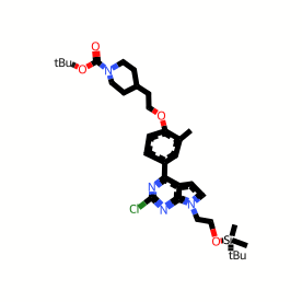 Cc1cc(-c2nc(Cl)nc3c2ccn3CCO[Si](C)(C)C(C)(C)C)ccc1OCCC1CCN(C(=O)OC(C)(C)C)CC1